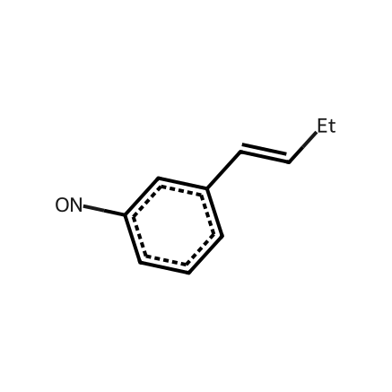 CCC=Cc1cccc(N=O)c1